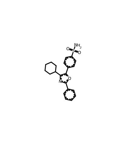 NS(=O)(=O)c1ccc(-c2oc(-c3ccccc3)nc2C2CCCCC2)cc1